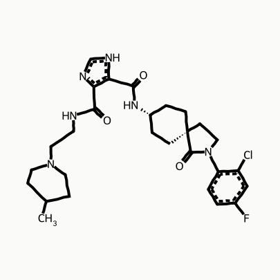 CC1CCN(CCNC(=O)c2nc[nH]c2C(=O)N[C@H]2CC[C@@]3(CCN(c4ccc(F)cc4Cl)C3=O)CC2)CC1